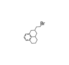 BrCCC1Cc2cccc3c2C(CCC3)C1